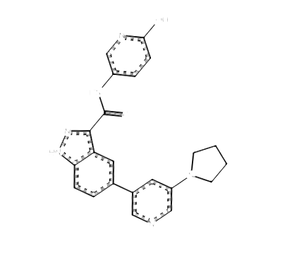 O=C(Nc1ccc(O)nc1)c1n[nH]c2ccc(-c3cncc(N4CCCC4)c3)cc12